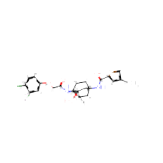 Cc1csc(C(=O)NC23CCC(NC(=O)COc4ccc(Cl)c(F)c4)(CC2)[C@@H](O)C3)c1